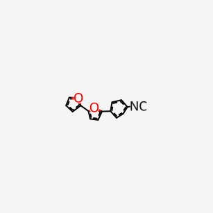 [C-]#[N+]c1ccc(-c2ccc(-c3ccco3)o2)cc1